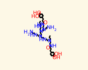 CCCNCCN(CCN(CCNCCN)CCNCCN(CCC)CCNC(=O)CCc1ccc(O)c(O)c1)CN(CCN)CCNC(=O)CCc1ccc(O)c(O)c1